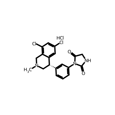 CN1Cc2c(Cl)cc(Cl)cc2[C@H](c2cccc(N3C(=O)CNC3=O)c2)C1.Cl